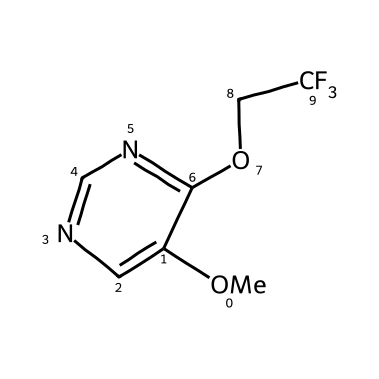 COc1cncnc1OCC(F)(F)F